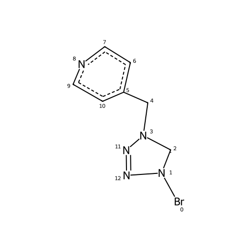 BrN1[CH]N(Cc2ccncc2)N=N1